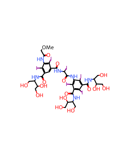 COCC(=O)Nc1c(I)c(C(=O)NC(I)C(=O)Nc2c(I)c(C(=O)NC(CO)C(O)CO)c(I)c(C(=O)NC(CO)C(O)CO)c2I)cc(C(=O)NC(CO)C(O)CO)c1I